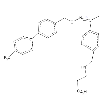 C/C(=N/OCc1ccc(-c2ccc(C(F)(F)F)cc2)cc1)c1ccc(CNCCC(=O)O)cc1